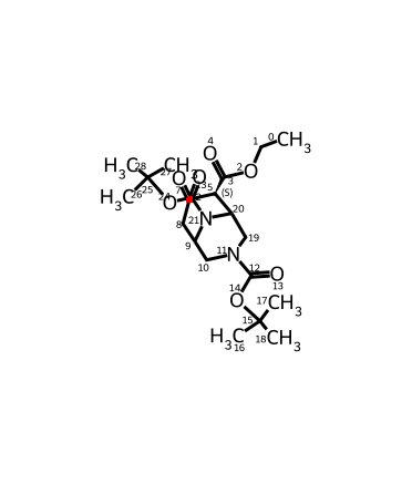 CCOC(=O)[C@@H]1C(=O)CC2CN(C(=O)OC(C)(C)C)CC1N2C(=O)OC(C)(C)C